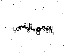 C=N\C=C/C=C(C)/C=C/C(=O)NCCOc1ccc(-c2ccc(C(C)O)s2)cc1Cl